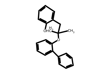 CC(C)(Cc1ccccc1O)Oc1ccccc1-c1ccccc1